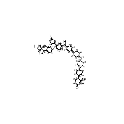 CCC(c1cccc(-c2nc(C)sc2-c2ccnc(Nc3ccc(N4CCN(CC5CCN(c6ccc(C7CCC(=O)NC7=O)cn6)CC5)CC4)cn3)n2)c1F)S(N)(=O)=O